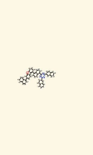 c1ccc2cc(-c3nc(-c4ccc5ccccc5c4)nc(-c4cccc5c(-c6cccc7oc8cc(-c9cccc%10ccccc9%10)ccc8c67)cccc45)n3)ccc2c1